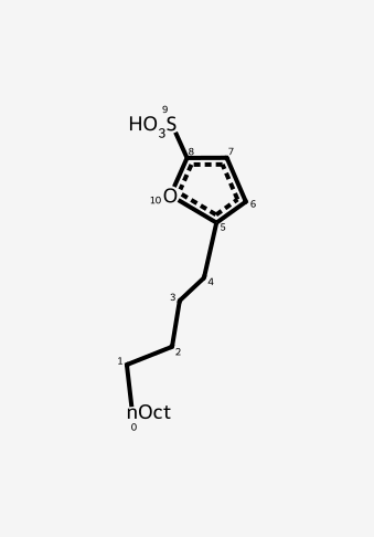 CCCCCCCCCCCCc1ccc(S(=O)(=O)O)o1